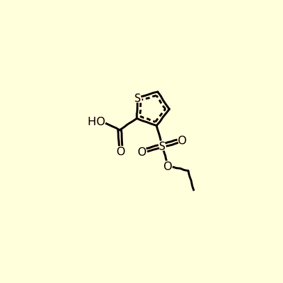 CCOS(=O)(=O)c1ccsc1C(=O)O